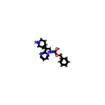 O=C(NCC1(c2ncccn2)C2CCNCC21)OCc1ccccc1